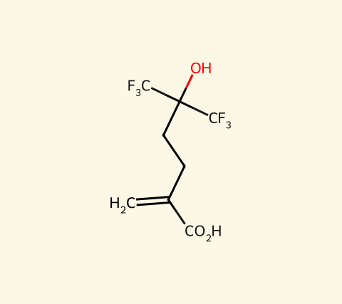 C=C(CCC(O)(C(F)(F)F)C(F)(F)F)C(=O)O